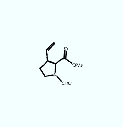 C=CC1CCN(C=O)C1C(=O)OC